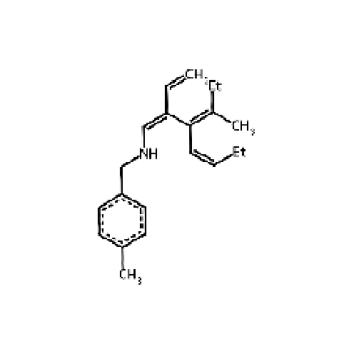 C=CC(=C/NCc1ccc(C)cc1)/C(/C=C\CC)=C(/C)CC